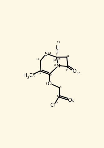 CC1=C(OCC(=O)Cl)N2C(=O)C[C@@H]2SC1